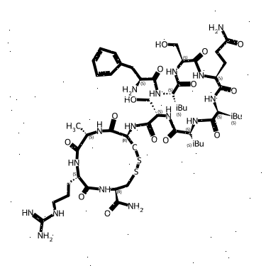 CC[C@H](C)[C@H](NC(=O)[C@H](CCC(N)=O)NC(=O)[C@H](CO)NC(=O)[C@@H](NC(=O)[C@@H](N)Cc1ccccc1)[C@@H](C)CC)C(=O)N[C@H](C(=O)N[C@@H](CO)C(=O)N[C@H]1CSSC[C@@H](C(N)=O)NC(=O)[C@H](CCCNC(=N)N)NC(=O)[C@H](C)NC1=O)[C@@H](C)CC